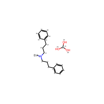 CCN(CCCc1ccccc1)CCCc1ccccc1.OB(O)O